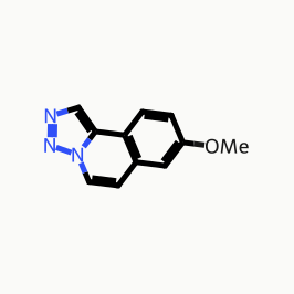 COc1ccc2c(ccn3nncc23)c1